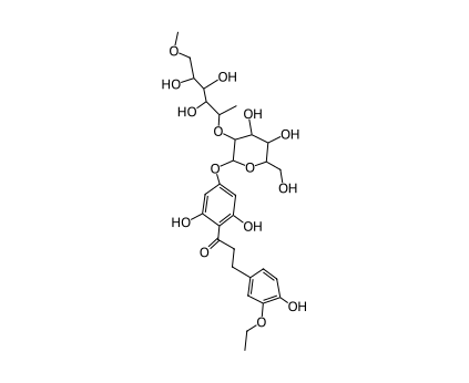 CCOc1cc(CCC(=O)c2c(O)cc(OC3OC(CO)C(O)C(O)C3OC(C)C(O)C(O)C(O)COC)cc2O)ccc1O